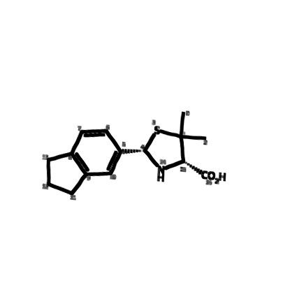 CC1(C)S[C@@H](c2ccc3c(c2)CCC3)N[C@H]1C(=O)O